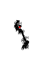 O=C(CNc1cccc2c1C(=O)N(C1CCC(=O)NC1=O)C2=O)NCCCCNC(=O)c1ccc(-c2cc3c(NC45CC(C4)C5)c(C(=O)NC4CC4)cnc3cc2F)cc1F